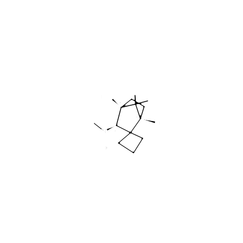 CN[C@@H]1C2(CCC2)[C@H]2CC[C@]1(C)C2(C)C.Cl